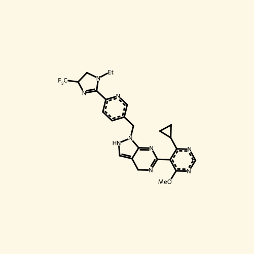 CCN1CC(C(F)(F)F)N=C1c1ccc(CN2NC=C3CN=C(c4c(OC)ncnc4C4CC4)N=C32)cn1